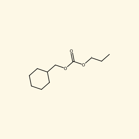 CC[CH]OC(=O)OCC1CCCCC1